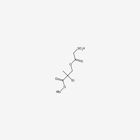 CCC(C)(COC(=O)CS(=O)(=O)O)C(=O)OC(C)(C)C